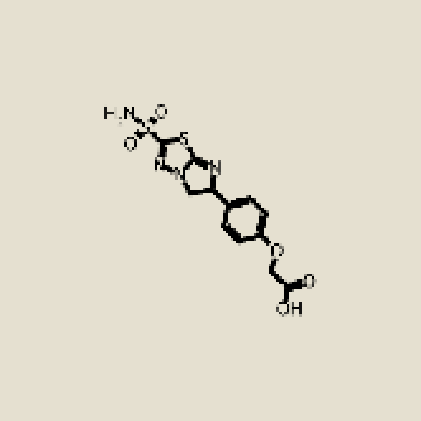 NS(=O)(=O)C1=NN2CC(c3ccc(OCC(=O)O)cc3)N=C2S1